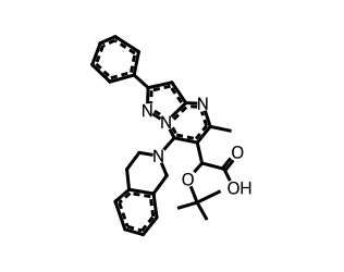 Cc1nc2cc(-c3ccccc3)nn2c(N2CCc3ccccc3C2)c1C(OC(C)(C)C)C(=O)O